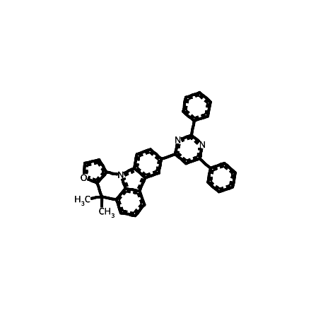 CC1(C)c2occc2-n2c3ccc(-c4cc(-c5ccccc5)nc(-c5ccccc5)n4)cc3c3cccc1c32